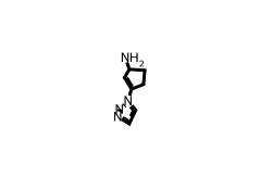 NC1C=C(n2ccnn2)CC1